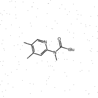 Cc1cnc(N(C)C(=O)C(C)(C)C)cc1C